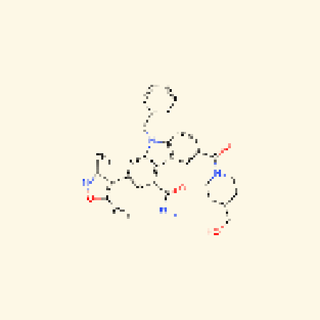 Cc1noc(C)c1-c1cc(C(N)=O)c2c3cc(C(=O)N4CCC(CO)CC4)ccc3n(Cc3ccccc3)c2c1